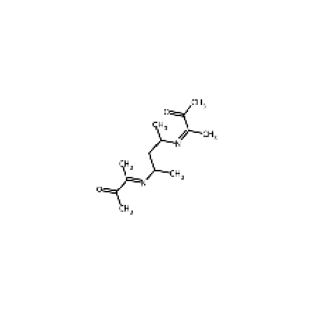 CC(=O)C(C)=NC(C)CC(C)N=C(C)C(C)=O